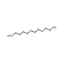 [CH2]CCCCCCCCCOCCOCCO